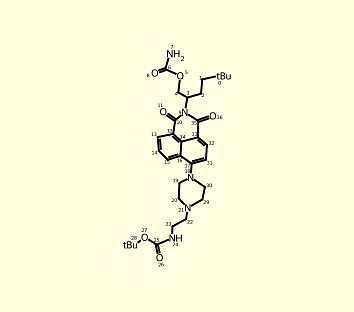 CC(C)(C)CCC(COC(N)=O)N1C(=O)c2cccc3c(N4CCN(CCNC(=O)OC(C)(C)C)CC4)ccc(c23)C1=O